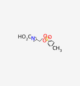 Cc1ccc(S(=O)(=O)OCCC2CN(C(=O)O)C2)cc1